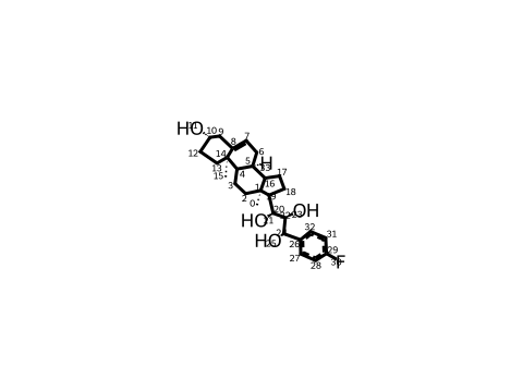 C[C@]12CCC3[C@@H](CC=C4C[C@@H](O)CC[C@@]43C)C1CCC2[C@H](O)[C@@H](O)[C@@H](O)c1ccc(F)cc1